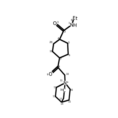 CCNC(=O)C1CCC(C(=O)C[N+]23CCC(CC2)CC3)CC1